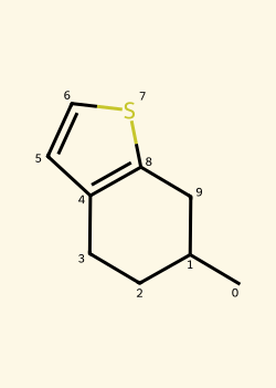 CC1CCc2ccsc2C1